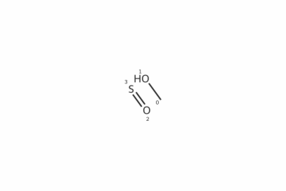 CO.O=S